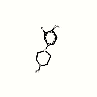 COc1ccc(N2CCN(C(C)C)CC2)cc1F